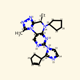 CC[C@@H]1c2nnc(C)n2-c2cnc(-n3ccnc3C3C=CCC3)nc2N1C1CCCC1